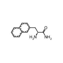 NC(=O)[C@@H](N)Cc1ccc2ccccc2c1